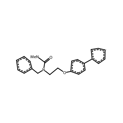 CNC(=O)N(CCOc1ccc(-c2cc[c]cc2)cc1)Cc1ccccc1